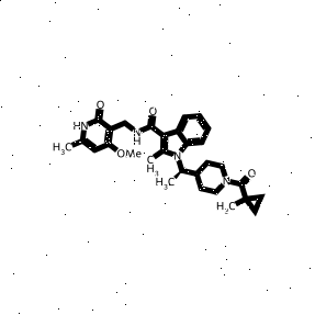 COc1cc(C)[nH]c(=O)c1CNC(=O)c1c(C)n([C@H](C)C2CCN(C(=O)C3(C)CC3)CC2)c2ccccc12